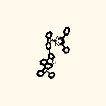 c1ccc(-c2cc(-c3ccccc3)nc(-n3c4ccccc4c4ccc(-c5ccc6c(c5)-c5cccc7c5c(cc5c7c7ccccc7n5-c5ccccc5)O6)cc43)n2)cc1